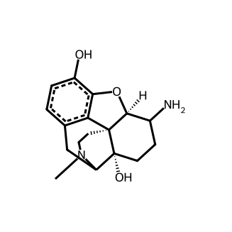 CN1CC[C@]23c4c5ccc(O)c4O[C@H]2C(N)CC[C@@]3(O)C1C5